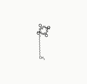 CCCCCCCCCCCCCCCCCCSc1cccc2c3nc4nc(nc5[nH]c(nc6nc(nc([nH]3)c12)-c1ccccc1-6)c1ccccc51)-c1ccccc1-4